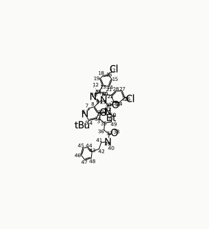 CCOc1cc(C(C)(C)C)ncc1C1=N[C@@](C)(c2ccc(Cl)cc2)[C@@](C)(c2ccc(Cl)cc2)N1C(=O)N1CCC(CC(=O)N(C)CCc2ccccc2)CC1